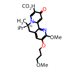 COCCCOc1cc2c(nc1OC)-c1cc(=O)c(C(=O)O)cn1[C@](C)(C(C)C)C2